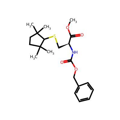 COC(=O)[C@H](CSC1C(C)(C)CCC1(C)C)NC(=O)OCc1ccccc1